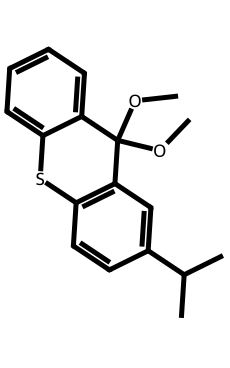 COC1(OC)c2ccccc2Sc2ccc(C(C)C)cc21